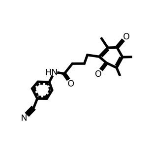 CC1=C(C)C(=O)C(CCCC(=O)Nc2ccc(C#N)cc2)=C(C)C1=O